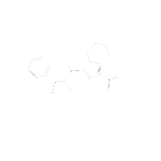 O=C(O)c1cc(C(=O)N2CCC[C@@H]2c2ccccc2)n2c1CCCC2